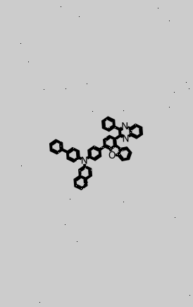 c1ccc(-c2ccc(N(c3ccc(-c4ccc(-c5nc6ccccc6nc5-c5ccccc5)c5c4oc4ccccc45)cc3)c3ccc4ccccc4c3)cc2)cc1